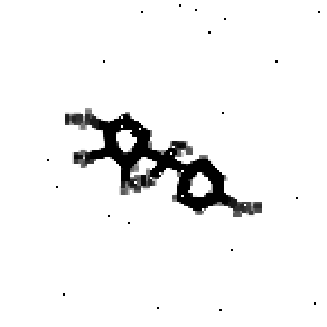 Cc1c(C(=O)O)ccc(C(C)(C)c2ccc(C(=O)O)cc2)c1C